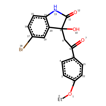 CCOc1ccc(C(=O)CC2(O)C(=O)Nc3ccc(Br)cc32)cc1